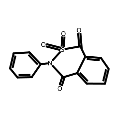 O=C1c2ccccc2C(=O)S(=O)(=O)N1c1ccccc1